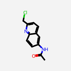 CC(=O)Nc1ccc2nc(CCl)ccc2c1